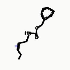 CC/C=C\CNC(=O)OCc1ccccc1